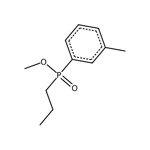 CCCP(=O)(OC)c1cccc(C)c1